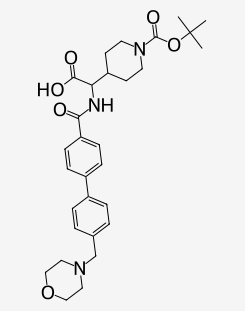 CC(C)(C)OC(=O)N1CCC(C(NC(=O)c2ccc(-c3ccc(CN4CCOCC4)cc3)cc2)C(=O)O)CC1